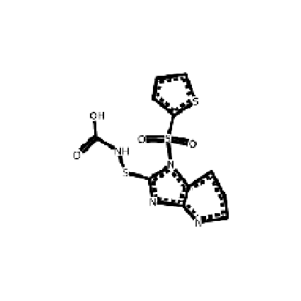 O=C(O)NSc1nc2ncccc2n1S(=O)(=O)c1cccs1